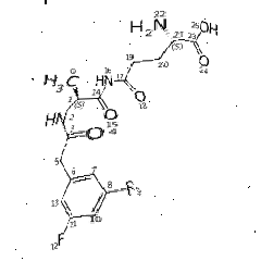 C[C@H](NC(=O)Cc1cc(F)cc(F)c1)C(=O)NC(=O)CC[C@H](N)C(=O)O